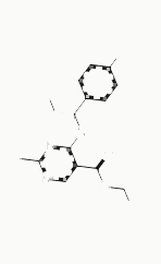 CCOC(=O)c1cnc(Cl)nc1N[C@H](CO)c1ccc(Cl)cc1